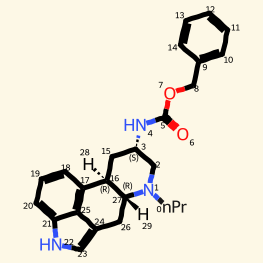 CCCN1C[C@@H](NC(=O)OCc2ccccc2)C[C@@H]2c3cccc4[nH]cc(c34)C[C@H]21